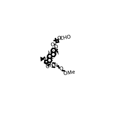 COCCOCCN1CCN(C(=O)[C@]23CC[C@@H](C4(C)CC4)[C@@H]2[C@H]2CC[C@@H]4[C@@]5(C)CC[C@H](OC(=O)[C@H]6C[C@@H](OC=O)C6(C)C)C(C)(C)[C@@H]5CC[C@@]4(C)[C@]2(C)CC3)CC1